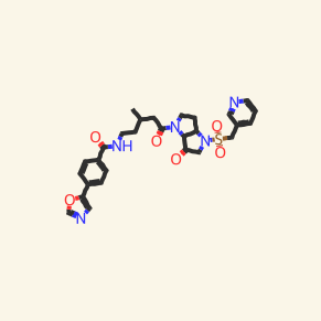 CC(CCNC(=O)c1ccc(-c2cnco2)cc1)CC(=O)N1CCC2C1C(=O)CN2S(=O)(=O)Cc1cccnc1